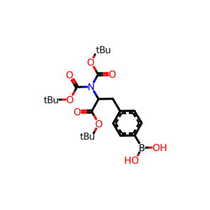 CC(C)(C)OC(=O)C(Cc1ccc(B(O)O)cc1)N(C(=O)OC(C)(C)C)C(=O)OC(C)(C)C